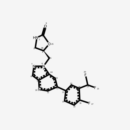 O=C1NC[C@H](Cn2ncc3ncc(-c4ccc(F)c(C(F)F)c4)cc32)O1